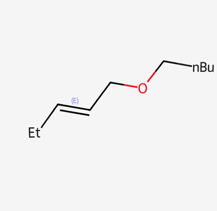 CC/C=C/COCCCCC